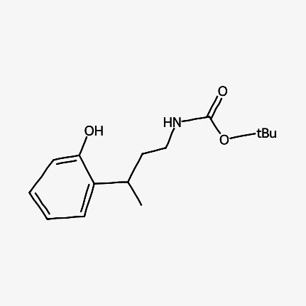 CC(CCNC(=O)OC(C)(C)C)c1ccccc1O